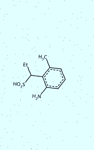 CCC(c1c(C)cccc1N)S(=O)(=O)O